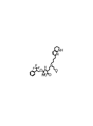 COCCN(CCCCc1ccc2c(n1)NCCC2)CCC(NC(=O)OCC(c1ccccc1)C(F)(F)F)C(=O)O